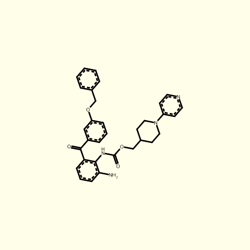 Nc1cccc(C(=O)c2cccc(OCc3ccccc3)c2)c1NC(=O)OCC1CCN(c2ccncc2)CC1